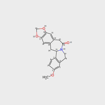 COc1ccc2c(c1)CCN1C(=O)Cc3cc4c(cc3CC21)OCO4